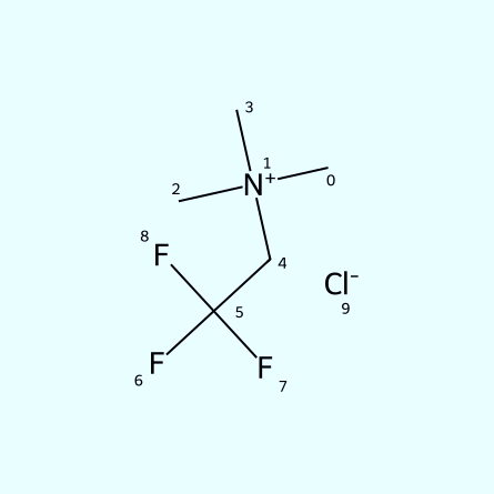 C[N+](C)(C)CC(F)(F)F.[Cl-]